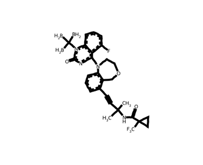 BC(B)(B)n1c(=O)nc(N2CCOCc3c(C#CC(C)(C)NC(=O)C4(C(F)(F)F)CC4)cccc32)c2c(F)cccc21